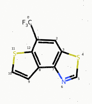 FC(F)(F)c1cc2scnc2c2ccsc12